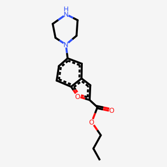 CCCOC(=O)c1cc2cc(N3CCNCC3)ccc2o1